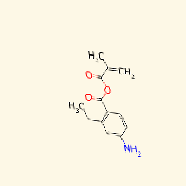 C=C(C)C(=O)OC(=O)c1ccc(N)cc1CC